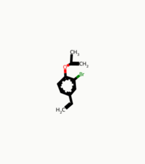 C=Cc1ccc(OC(=C)C)c(Br)c1